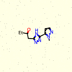 CCC(=O)Cc1nnc(-c2ccnn2C)[nH]1